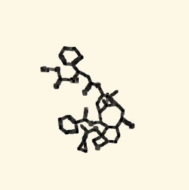 CC(OC12COC1CCC1C(=O)CC3=C(C)C(OC(=O)CC(NC(=O)OC(C)(C)C)c4ccccc4)CC(C(OC(=S)c4ccccc4)C12)C3(C)C)=C1CC1